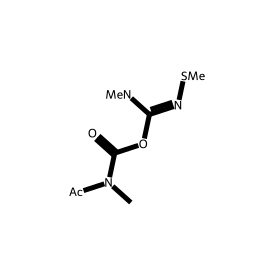 CN/C(=N\SC)OC(=O)N(C)C(C)=O